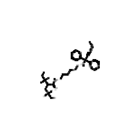 CCC(C)(C)CC(C(=O)OCCCCCCOC(C#[N+]OC)(c1ccccc1)c1ccccc1)C(C)(C)CC